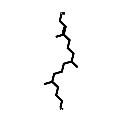 C/C(=C\CO)CCCC(C)CCCC(C)CCCC(C)C